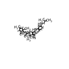 CC(C)CNc1ncc(F)c(Nc2n[nH]c3c2CN(C(=O)NCC2(C)C[C@@H](C)CN2C)C3(C)C)n1